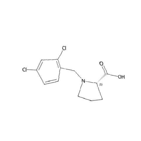 O=C(O)[C@@H]1CCCN1Cc1ccc(Cl)cc1Cl